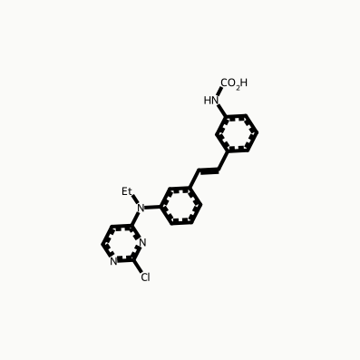 CCN(c1cccc(C=Cc2cccc(NC(=O)O)c2)c1)c1ccnc(Cl)n1